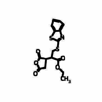 CCOC(=O)C(CSc1nc2ccccc2s1)C1CC(=O)OC1=O